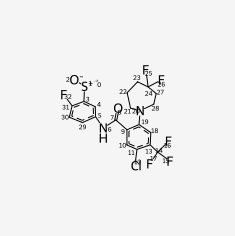 C[S@@+]([O-])c1cc(NC(=O)c2cc(Cl)c(C(F)(F)F)cc2N2CCCC(F)(F)CC2)ccc1F